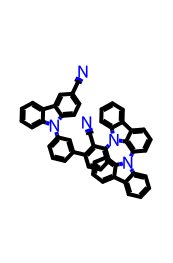 N#Cc1ccc2c(c1)c1ccccc1n2-c1cccc(-c2cccc(-n3c4ccccc4c4cccc(-n5c6ccccc6c6ccccc65)c43)c2C#N)c1